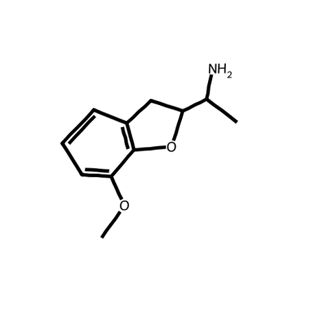 COc1cccc2c1OC(C(C)N)C2